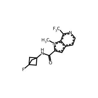 Cn1c(C(=O)NC23CC(F)(C2)C3)cc2ccnc(C(F)(F)F)c21